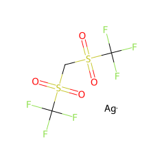 O=S(=O)(CS(=O)(=O)C(F)(F)F)C(F)(F)F.[Ag]